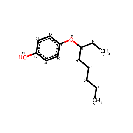 CCCCCC(CC)Oc1ccc(O)cc1